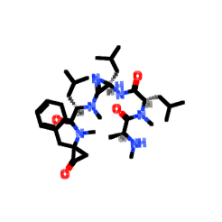 CN[C@@H](C)C(=O)N(C)[C@@H](CC(C)C)C(=O)N[C@]1(CC(C)C)N=C1N(C)[C@@H](CC(C)C)C(=O)N(C)C1(CC2=CC=CCC2)CC1=O